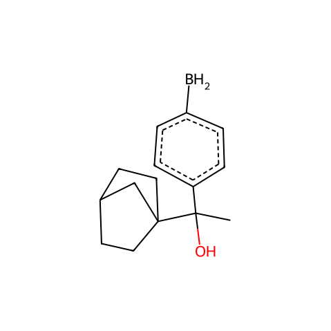 Bc1ccc(C(C)(O)C23CCC(CC2)C3)cc1